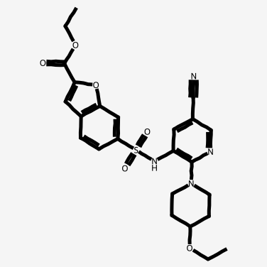 CCOC(=O)c1cc2ccc(S(=O)(=O)Nc3cc(C#N)cnc3N3CCC(OCC)CC3)cc2o1